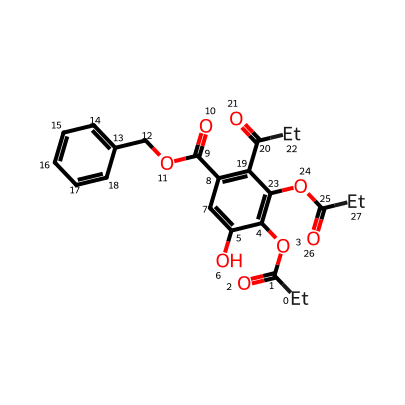 CCC(=O)Oc1c(O)cc(C(=O)OCc2ccccc2)c(C(=O)CC)c1OC(=O)CC